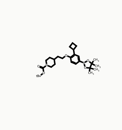 CC(C)(C)OC(=O)N1CCC(CCOc2ccc(B3OC(C)(C)C(C)(C)O3)cc2C2CCC2)CC1